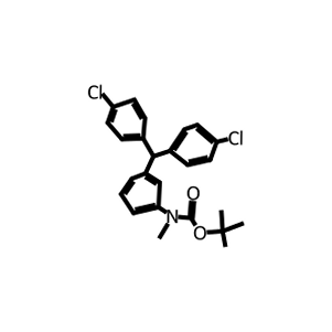 CN(C(=O)OC(C)(C)C)c1cccc(C(c2ccc(Cl)cc2)c2ccc(Cl)cc2)c1